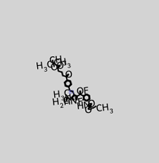 C=Nc1[nH]cc(C(=O)c2c(F)ccc(NS(=O)(=O)CCC)c2F)c1/C=C(\C)c1ccc(C(=O)CCCC(=O)OC(C)(C)C)cc1